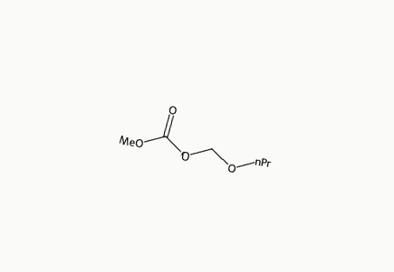 CCCOCOC(=O)OC